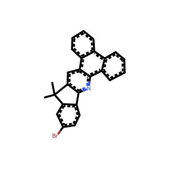 CC1(C)c2cc(Br)ccc2-c2nc3c4ccccc4c4ccccc4c3cc21